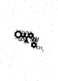 Cc1cccc(S(=O)(=O)Nc2cccc(C(c3c(O)c4c(oc3=O)CCCCCC4=O)C3CC3)c2)c1